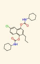 CCCc1cc(OC(=O)NC2CCCCC2)c2cc(Cl)ccc2c1OC(=O)NC1CCCCC1